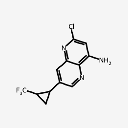 Nc1cc(Cl)nc2cc(C3CC3C(F)(F)F)cnc12